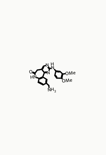 COc1ccc(Nc2ncc3c(n2)-c2cc(CN)ccc2NC(=O)C3)cc1OC